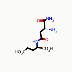 NC(=O)[C@H](N)CC(=O)NC(CCC(=O)O)C(=O)O